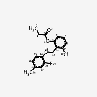 CCC(=O)Oc1cccc(Cl)c1COc1ccc(C)cc1F